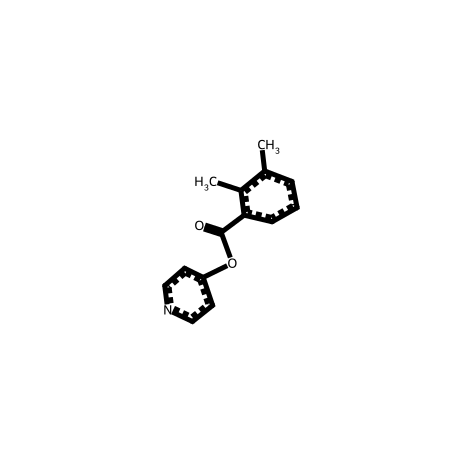 Cc1cccc(C(=O)Oc2ccncc2)c1C